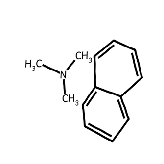 CN(C)C.c1ccc2ccccc2c1